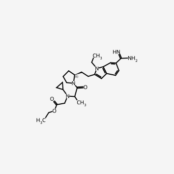 CCOC(=O)CN(C1CC1)C(C)C(=O)N1CCC[C@H]1CCc1cc2ccc(C(=N)N)cc2n1CC